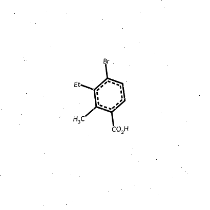 CCc1c(Br)ccc(C(=O)O)c1C